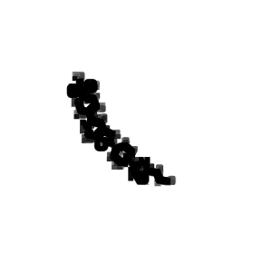 CCCc1nc(N2CCC([C@H]3Cc4cc(C5=CCN(S(C)(=O)=O)CC5)ncc4O3)CC2)no1